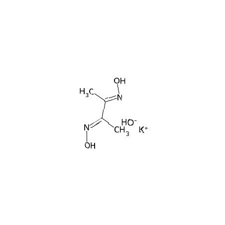 CC(=N\O)/C(C)=N/O.[K+].[OH-]